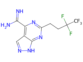 N=C(N)c1nc(CCC(F)(F)C(F)(F)F)nc2[nH]ncc12